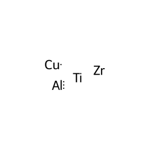 [Al].[Cu].[Ti].[Zr]